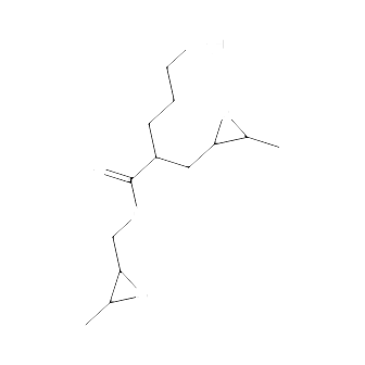 CC1OC1COC(=O)C(CCCC(=O)O)CC1OC1C